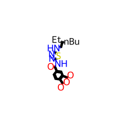 CCCCC(CC)CNc1nnc(NC(=O)c2ccc3c(c2)C(=O)OC3=O)s1